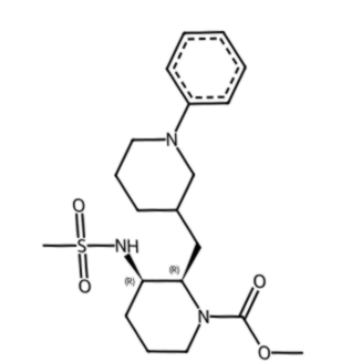 COC(=O)N1CCC[C@@H](NS(C)(=O)=O)[C@H]1CC1CCCN(c2ccccc2)C1